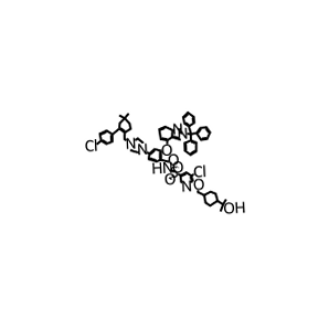 CC1(C)CCC(CN2CCN(c3ccc(C(=O)NS(=O)(=O)c4cnc(OCC5CCC(C(C)(C)O)CC5)c(Cl)c4)c(Oc4cccc5nn(C(c6ccccc6)(c6ccccc6)c6ccccc6)cc45)c3)CC2)=C(c2ccc(Cl)cc2)C1